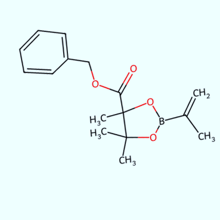 C=C(C)B1OC(C)(C)C(C)(C(=O)OCc2ccccc2)O1